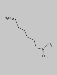 C=CCCCCCN(C)C